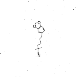 CC(C)(C#N)CCCCc1ccc2c(c1)OCO2